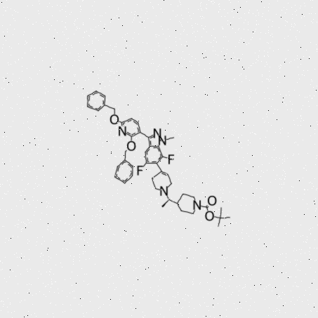 C[C@H](C1CCN(C(=O)OC(C)(C)C)CC1)N1CC=C(c2c(F)cc3c(-c4ccc(OCc5ccccc5)nc4OCc4ccccc4)nn(C)c3c2F)CC1